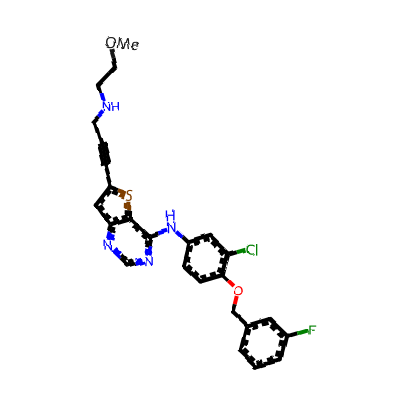 COCCNCC#Cc1cc2ncnc(Nc3ccc(OCc4cccc(F)c4)c(Cl)c3)c2s1